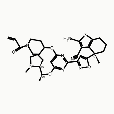 C=CC(=O)N1CCC(Oc2cc(O[C@@H](C)[C@@H]3CCCN3C)nc(-c3cc([C@@]4(C)CCCc5sc(N)c(C#N)c54)on3)n2)CC1